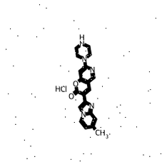 Cc1ccn2cc(-c3cc4cnc(N5CCNCC5)cc4oc3=O)nc2c1.Cl